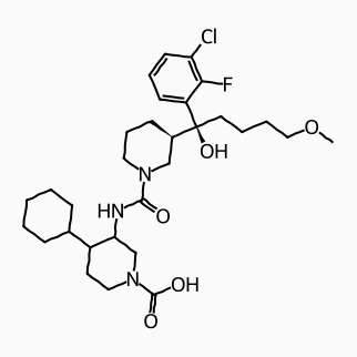 COCCCC[C@@](O)(c1cccc(Cl)c1F)[C@@H]1CCCN(C(=O)NC2CN(C(=O)O)CCC2C2CCCCC2)C1